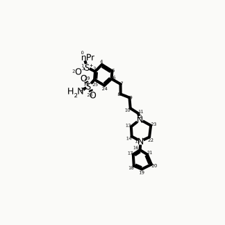 CCC[S+]([O-])c1ccc(CCCCCN2CCN(c3ccccc3)CC2)cc1S(N)(=O)=O